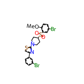 COc1ccc(Br)cc1S(=O)(=O)C1CCN(c2nc(-c3cccc(Br)c3)cs2)CC1